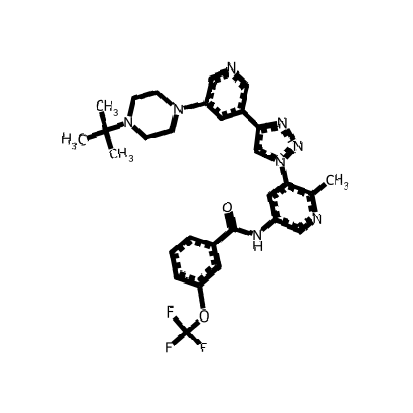 Cc1ncc(NC(=O)c2cccc(OC(F)(F)F)c2)cc1-n1cc(-c2cncc(N3CCN(C(C)(C)C)CC3)c2)nn1